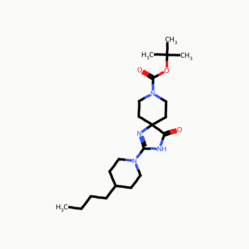 CCCCC1CCN(C2=NC3(CCN(C(=O)OC(C)(C)C)CC3)C(=O)N2)CC1